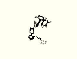 O=C(O)CCOc1ccccc1C1CCC(OCC2NCCC23COC(F)C(=O)N3)CC1